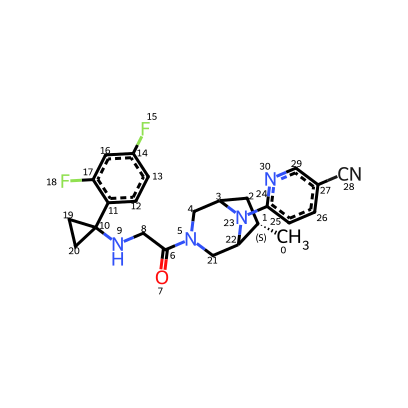 C[C@H]1CC2CN(C(=O)CNC3(c4ccc(F)cc4F)CC3)CC1N2c1ccc(C#N)cn1